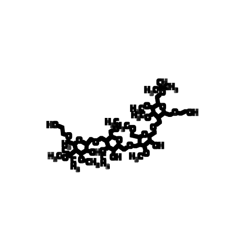 COCC1OC(COCC2C(COCCO)OC(COC(C)(C)C)C(OC)C2OC)C(O)C(OC)C1COCC1OC(COC)C(COCC2OC(COCCO)C(C(C)(C)OC)C(OC)C2O)C(OC)C1O